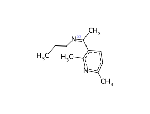 CCC/N=C(/C)c1ccc(C)nc1C